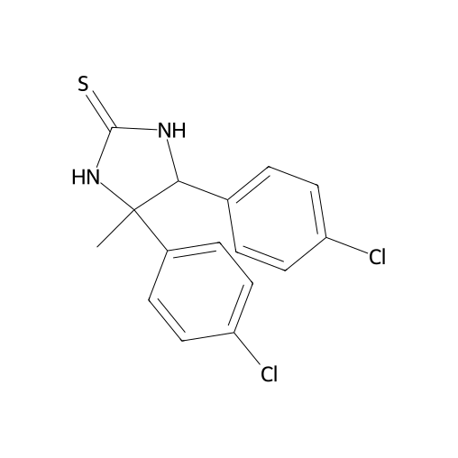 CC1(c2ccc(Cl)cc2)NC(=S)NC1c1ccc(Cl)cc1